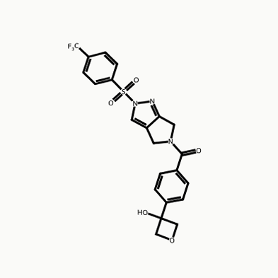 O=C(c1ccc(C2(O)COC2)cc1)N1Cc2cn(S(=O)(=O)c3ccc(C(F)(F)F)cc3)nc2C1